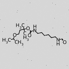 CC(C)OCCC(C)(C)OC(=O)NCCCCCCNC=O